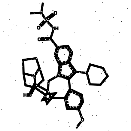 COc1ccc2c(c1)C1CC1(C(=O)N1C3CCC1CC(O)(C1CC1)C3)Cn1c-2c(C2CCCCC2)c2ccc(C(=O)NS(=O)(=O)N(C)C)cc21